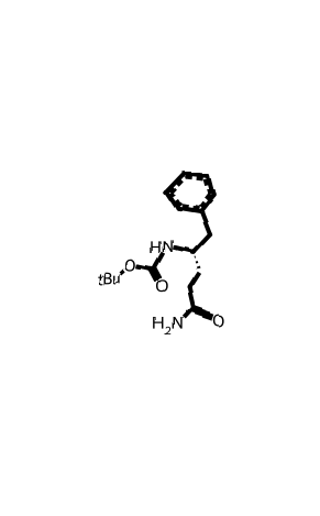 CC(C)(C)OC(=O)N[C@@H](CCC(N)=O)Cc1ccccc1